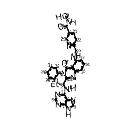 CC[C@H](Nc1ncnc2[nH]cnc12)c1nc2cccc(NCc3ccc(C(=O)NO)cn3)c2c(=O)n1-c1ccccc1